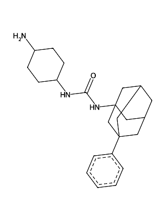 NC1CCC(NC(=O)NC23CC4CC(C2)CC(c2ccccc2)(C4)C3)CC1